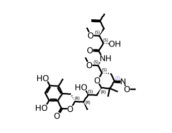 C=C(C)C[C@H](OC)[C@H](O)C(=O)N[C@@H](OC)[C@@H]1C/C(=N/OC)C(C)(C)[C@@H](C[C@H](O)[C@@H](C)[C@H]2Cc3c(C)c(O)cc(O)c3C(=O)O2)O1